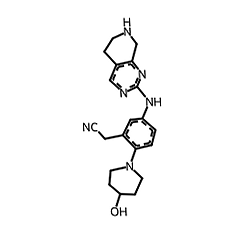 N#CCc1cc(Nc2ncc3c(n2)CNCC3)ccc1N1CCC(O)CC1